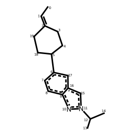 CC=C1CCC(c2ccc3nn(C(C)C)cc3c2)CC1